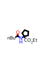 CCCCC(=O)NC1(C(=O)OCC)CCCC1